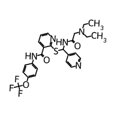 CCN(CC)CC(=O)NC(Sc1ncccc1C(=O)Nc1ccc(OC(F)(F)F)cc1)c1ccncc1